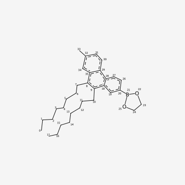 CCCCCCCCc1c(CCCCCCCC)c2cc(B3OCCO3)ccc2c2ccc(C)cc12